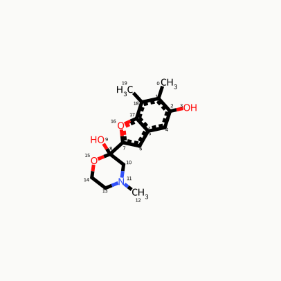 Cc1c(O)cc2cc(C3(O)CN(C)CCO3)oc2c1C